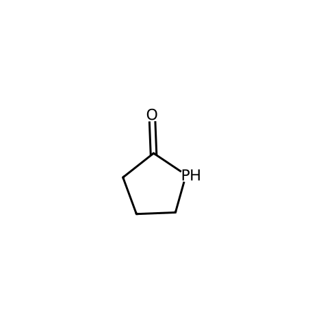 O=C1CCCP1